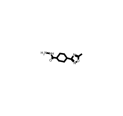 Cc1nc(C2CCC(C(=O)NN)CC2)no1